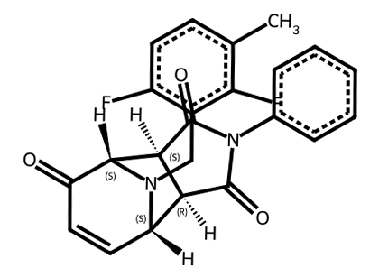 Cc1ccc(F)c(CN2[C@@H]3C(=O)C=C[C@H]2[C@@H]2C(=O)N(c4ccccc4)C(=O)[C@@H]23)c1F